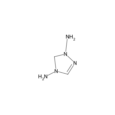 NN1C=NN(N)C1